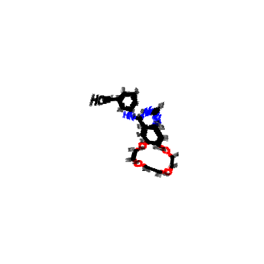 C#Cc1cccc(Nc2ncnc3c2=CC2OCCOCCOCCOC2C=3)c1